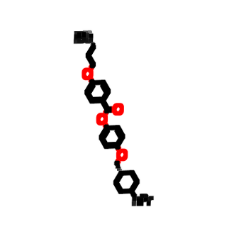 CCC[C@H]1CC[C@H](COc2ccc(OC(=O)c3ccc(OCCC[C@@H](C)CC)cc3)cc2)CC1